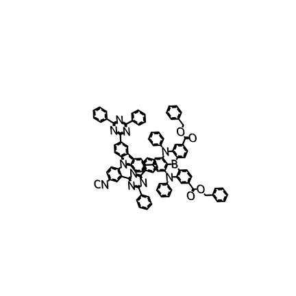 [C-]#[N+]c1ccc(-n2c3ccc(-c4cc5c6c(c4)N(c4ccccc4)c4cc(C(=O)OCc7ccccc7)ccc4B6c4ccc(C(=O)OCc6ccccc6)cc4N5c4ccccc4)cc3c3cc(-c4nc(-c5ccccc5)nc(-c5ccccc5)n4)ccc32)c(-c2nc(-c3ccccc3)nc(-c3ccccc3)n2)c1